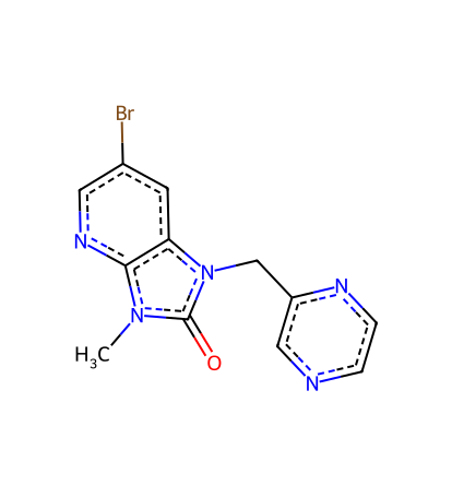 Cn1c(=O)n(Cc2cnccn2)c2cc(Br)cnc21